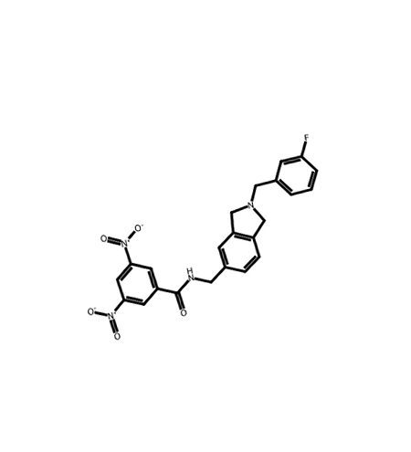 O=C(NCc1ccc2c(c1)CN(Cc1cccc(F)c1)C2)c1cc([N+](=O)[O-])cc([N+](=O)[O-])c1